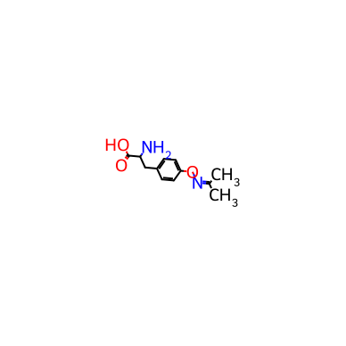 CC(C)=NOc1ccc(CC(N)C(=O)O)cc1